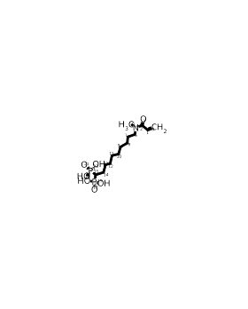 C=CC(=O)N(C)CCCCCCCCCC(P(=O)(O)O)P(=O)(O)O